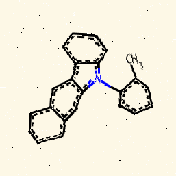 Cc1ccccc1-n1c2ccccc2c2cc3ccccc3cc21